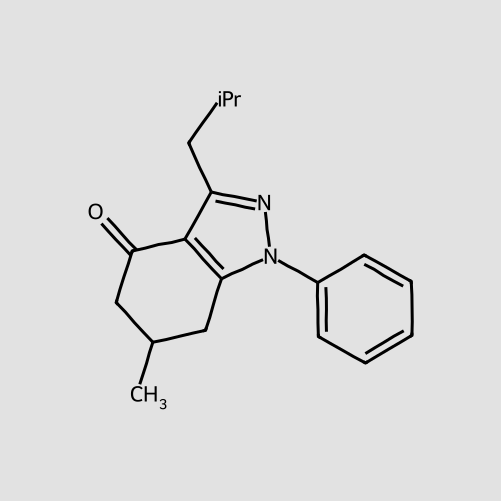 CC(C)Cc1nn(-c2ccccc2)c2c1C(=O)CC(C)C2